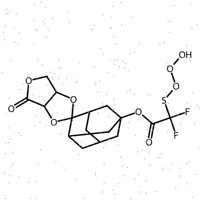 O=C1OCC2OC3(OC12)C1CC2CC3CC(OC(=O)C(F)(F)SOOO)(C2)C1